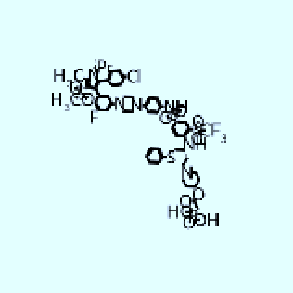 Cc1c(S(C)(=O)=O)c(-c2cc(F)cc(N3CCN(c4ccc(NS(=O)(=O)c5ccc(N[C@H](CCN6CCC(OC(=O)CP(=O)(O)O)CC6)CSc6ccccc6)c(S(=O)(=O)C(F)(F)F)c5)cc4)CC3)c2)c(-c2ccc(Cl)cc2)n1C(C)C